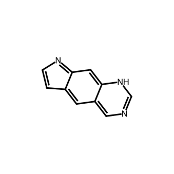 c1cc2cc3cnc[nH]c3cc2n1